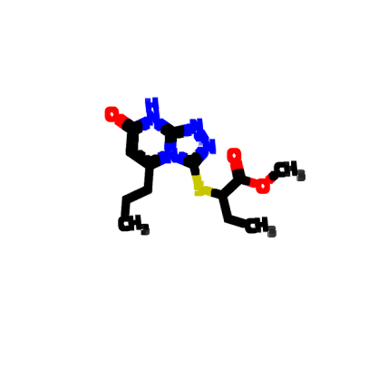 CCCc1cc(=O)[nH]c2nnc(SC(CC)C(=O)OC)n12